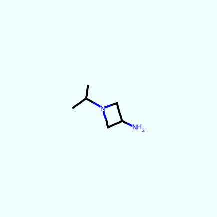 CC(C)N1CC(N)C1